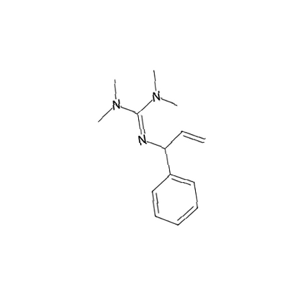 C=CC(N=C(N(C)C)N(C)C)c1ccccc1